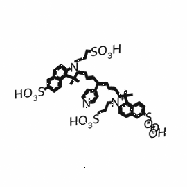 CC1(C)C(=CC=CC(=CC=CC2=[N+](CCCS(=O)(=O)O)c3ccc4cc(SOOO)ccc4c3C2(C)C)c2ccncc2)N(CCCS(=O)(=O)O)c2ccc3cc(S(=O)(=O)O)ccc3c21